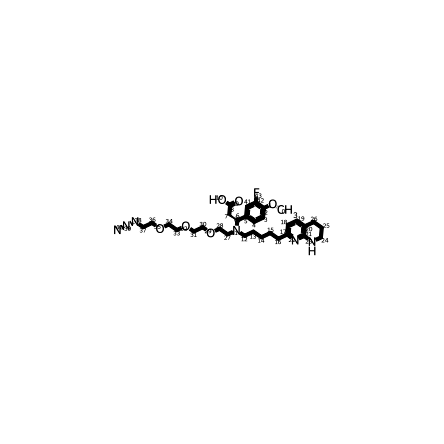 COc1ccc([C@H](CC(=O)O)N(CCCCCc2ccc3c(n2)NCCC3)CCOCCOCCOCCN=[N+]=[N-])cc1F